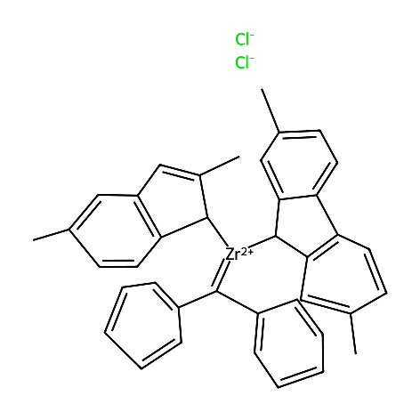 CC1=Cc2cc(C)ccc2[CH]1[Zr+2](=[C](c1ccccc1)c1ccccc1)[CH]1c2cc(C)ccc2-c2ccc(C)cc21.[Cl-].[Cl-]